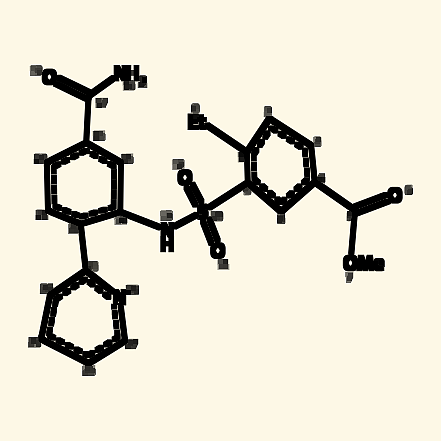 CCc1ccc(C(=O)OC)cc1S(=O)(=O)Nc1cc(C(N)=O)ccc1-c1ccccn1